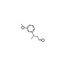 COc1cccc(C(C)CC=O)c1